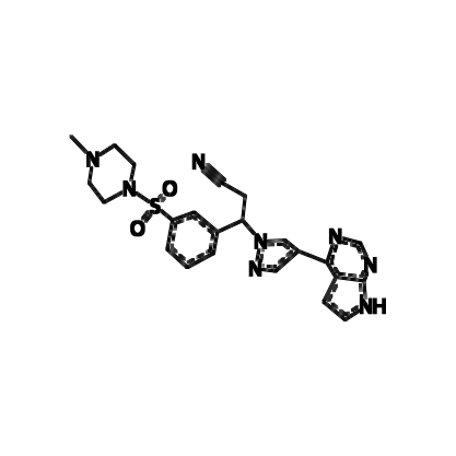 CN1CCN(S(=O)(=O)c2cccc(C(CC#N)n3cc(-c4ncnc5[nH]ccc45)cn3)c2)CC1